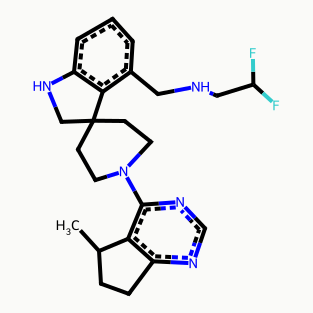 CC1CCc2ncnc(N3CCC4(CC3)CNc3cccc(CNCC(F)F)c34)c21